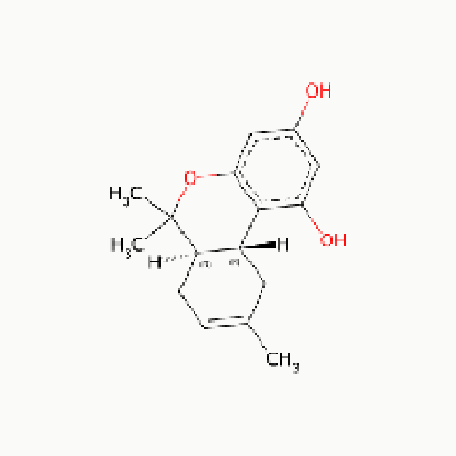 CC1=CC[C@@H]2[C@@H](C1)c1c(O)cc(O)cc1OC2(C)C